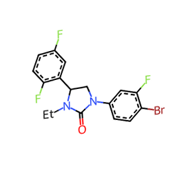 CCN1C(=O)N(c2ccc(Br)c(F)c2)CC1c1cc(F)ccc1F